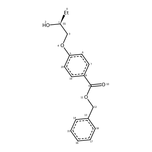 CC[C@H](O)COc1ccc(C(=O)OCc2ccccc2)cc1